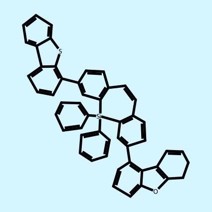 C1=Cc2c(oc3cccc(-c4ccc5c(c4)[Si](c4ccccc4)(c4ccccc4)c4cc(-c6cccc7c6sc6ccccc67)ccc4C=C5)c23)CC1